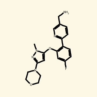 Cn1nc(N2CCOCC2)cc1Oc1cc(F)ccc1-c1ccc(CN)cn1